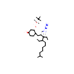 CC(C)CCC[C@@H](C)[C@H]1CC[C@H]2[C@H](CN=[N+]=[N-])[C@@H]([C@@]3(C)CCC(=O)C[C@@H]3CO[Si](C)(C)C(C)(C)C)CC[C@]12C